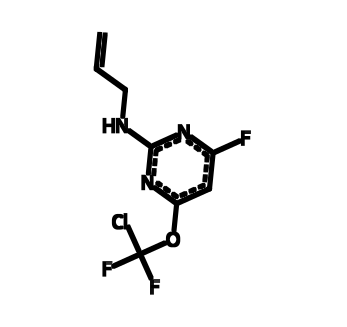 C=CCNc1nc(F)cc(OC(F)(F)Cl)n1